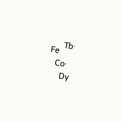 [Co].[Dy].[Fe].[Tb]